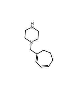 C1=CCCCC(CN2CCNCC2)=C1